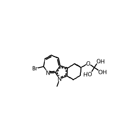 Cn1c2c(c3c1=NC(Br)C=CC=3)CC(OC(O)(O)O)CC2